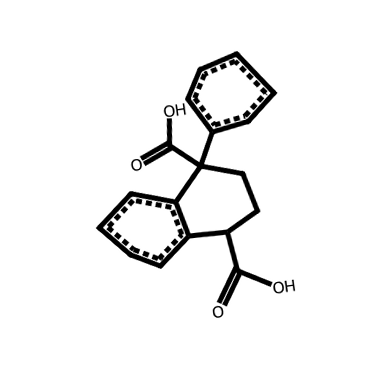 O=C(O)C1CCC(C(=O)O)(c2ccccc2)c2ccccc21